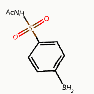 Bc1ccc(S(=O)(=O)NC(C)=O)cc1